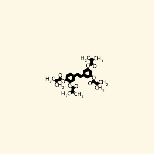 C=C(C)C(=O)Oc1cc(/C=C/c2ccc(OC(=O)C(=C)C)c(OC(=O)C(=C)C)c2)cc(OC(=O)C(=C)C)c1